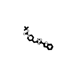 CC(C)(C)OC(=O)N1CCC(Cc2noc(-c3cc4ccccc4o3)n2)CC1